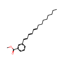 CCCCCCCCC=CC=CC=Cc1cccc(C(=O)OC)c1